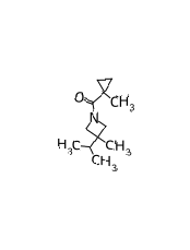 CC(C)C1(C)CN(C(=O)C2(C)CC2)C1